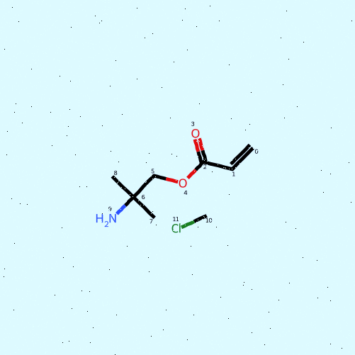 C=CC(=O)OCC(C)(C)N.CCl